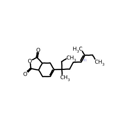 CC/C(C)=C/CCC(C)(CC)C1=CCC2C(=O)OC(=O)C2C1